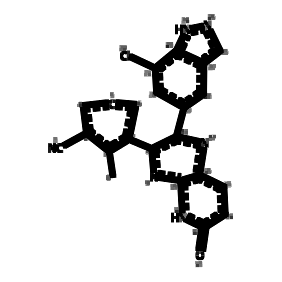 Cc1c(C#N)cccc1-c1nc2[nH]c(=O)ccc2nc1-c1cc(Cl)c2[nH]ncc2c1